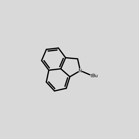 CC(C)(C)N1Cc2cccc3cccc1c23